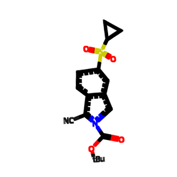 CC(C)(C)OC(=O)n1cc2cc(S(=O)(=O)C3CC3)ccc2c1C#N